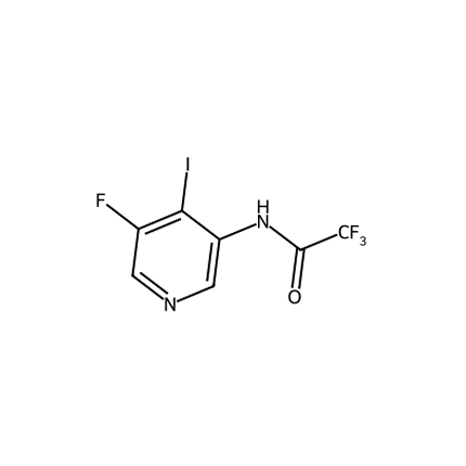 O=C(Nc1cncc(F)c1I)C(F)(F)F